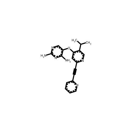 CC(C)c1cnc(C#Cc2ccccn2)cc1Oc1cnc(N)nc1N